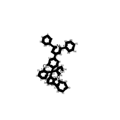 c1ccc(-c2cc(-c3ccc4c(c3)Oc3ccccc3C43c4ccccc4-n4c5ccccc5c5cccc3c54)cc(-c3ccccc3)n2)cc1